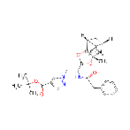 CC(C)(C)OC(=O)c1cnn(C[C@@H](NC(=O)Cc2ccccc2)B2OC3[C@@H]4C[C@H](C[C@]3(C)O2)C4(C)C)c1